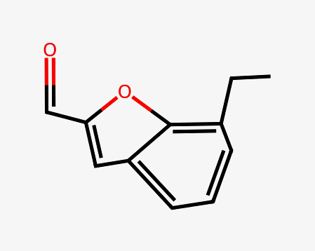 CCc1cccc2cc(C=O)oc12